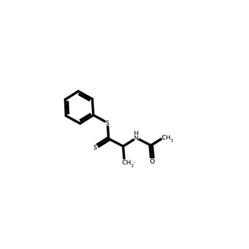 [CH2]C(NC(C)=O)C(=S)Sc1ccccc1